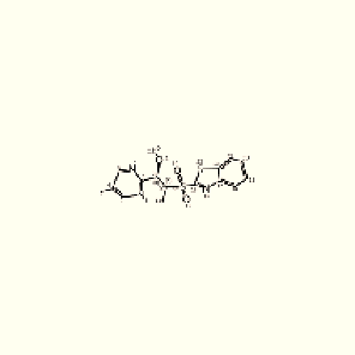 CCO[C@H](c1ncc(C)cn1)[C@H](C)S(=O)(=O)c1nc2ccccc2s1